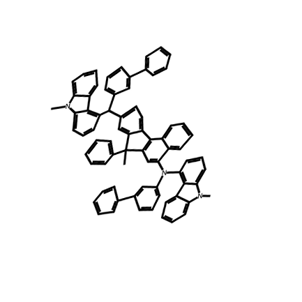 Cn1c2ccccc2c2c(C(c3cccc(-c4ccccc4)c3)c3ccc4c(c3)C(C)(c3ccccc3)c3cc(N(c5cccc(-c6ccccc6)c5)c5cccc6c5c5ccccc5n6C)c5ccccc5c3-4)cccc21